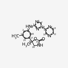 Cc1cc(Nc2ncn(-c3cnccn3)n2)cc(C2(C)CNC(=O)O2)c1